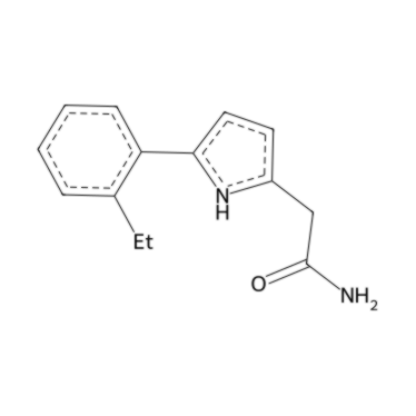 CCc1ccccc1-c1ccc(CC(N)=O)[nH]1